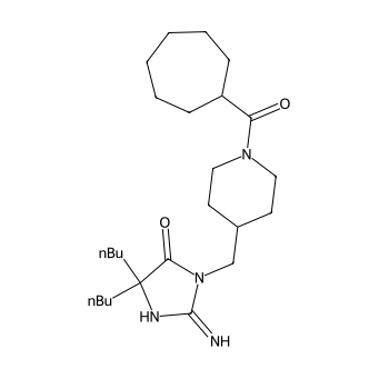 CCCCC1(CCCC)NC(=N)N(CC2CCN(C(=O)C3CCCCCC3)CC2)C1=O